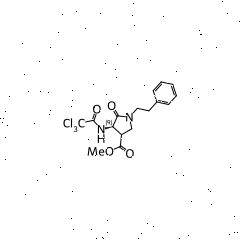 COC(=O)C1CN(CCc2ccccc2)C(=O)[C@@H]1NC(=O)C(Cl)(Cl)Cl